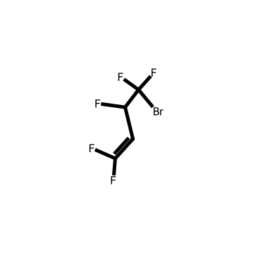 FC(F)=CC(F)C(F)(F)Br